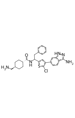 NC[C@H]1CC[C@H](C(=O)NC(Cc2ccccc2)c2cc(-c3ccc4c(N)n[nH]c4c3)c(Cl)s2)CC1